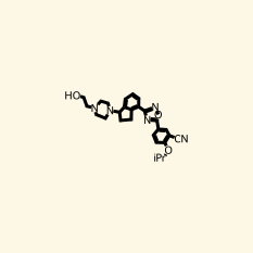 CC(C)Oc1ccc(-c2nc(-c3cccc4c3CCC4N3CCN(CCO)CC3)no2)cc1C#N